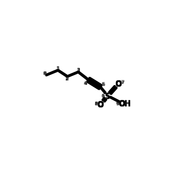 CCCCC#CS(=O)(=O)O